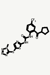 Cn1nnnc1Sc1cnc(NC(=O)Nc2ccc(C(F)(F)F)cc2C(=O)C2CCCC2)s1